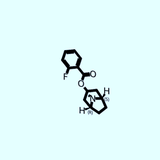 CN1[C@@H]2CC[C@H]1CC(OC(=O)c1ccccc1F)C2